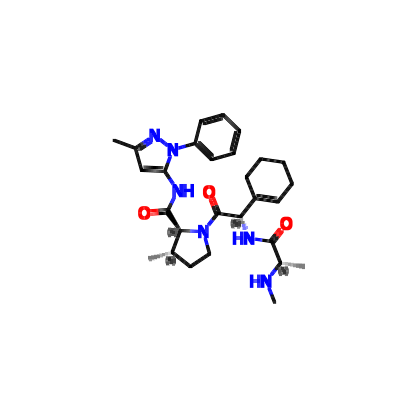 CN[C@@H](C)C(=O)N[C@H](C(=O)N1CC[C@H](C)[C@H]1C(=O)Nc1cc(C)nn1-c1ccccc1)C1=CCCCC1